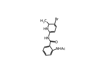 CC(=O)Nc1ccccc1C(=O)NC1=CC=C(Br)C(C)N1